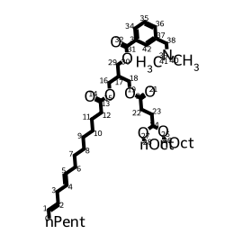 CCCCCC=CCC=CCCCCCCCC(=O)OCC(COC(=O)CCC(OCCCCCCCC)OCCCCCCCC)COC(=O)c1cccc(CN(C)C)c1